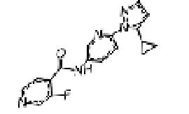 O=C(Nc1ccc(-n2nc(C(F)(F)F)cc2C2CC2)nc1)c1ccncc1F